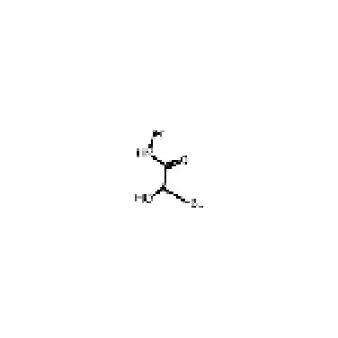 CCCCC(O)C(=O)NC(C)C